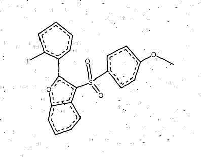 COc1ccc(S(=O)(=O)c2c(-c3ccccc3F)oc3ccccc23)cc1